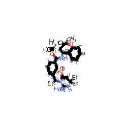 C#C[C@H]1[C@H](NC(=O)c2cccc(C(CC)N3C(=N)NC(CC)(CC)CC3=O)c2)c2ccccc2OC1(C)C